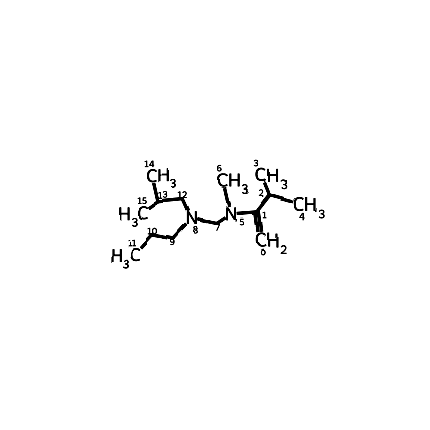 C=C(C(C)C)N(C)CN(CCC)CC(C)C